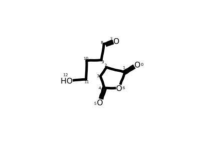 O=C1CCC(=O)O1.O=CCCCO